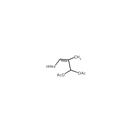 CCCCCCC=C(C)C(OC(C)=O)OC(C)=O